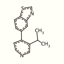 CC(C)c1cnccc1-c1ccc2scnc2c1